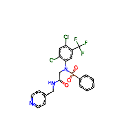 O=C(CN(c1cc(C(F)(F)F)c(Cl)cc1Cl)S(=O)(=O)c1ccccc1)NCc1ccncc1